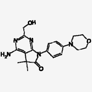 CC1(C)C(=O)N(c2ccc(N3CCOCC3)cc2)c2nc(CO)nc(N)c21